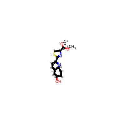 COC(OC)C1CSC(c2ccc3cc(O)ccc3n2)=N1